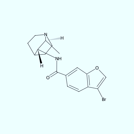 C[C@H]1[C@H](NC(=O)c2ccc3c(Br)coc3c2)C2CCN1CC2